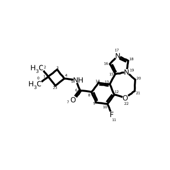 CC1(C)CC(NC(=O)c2cc(F)c3c(c2)-c2cncn2CCO3)C1